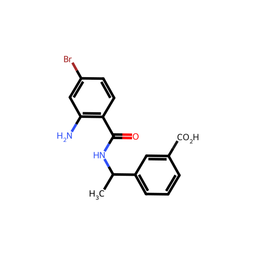 CC(NC(=O)c1ccc(Br)cc1N)c1cccc(C(=O)O)c1